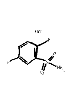 Cl.NS(=O)(=O)c1cc(F)ccc1F